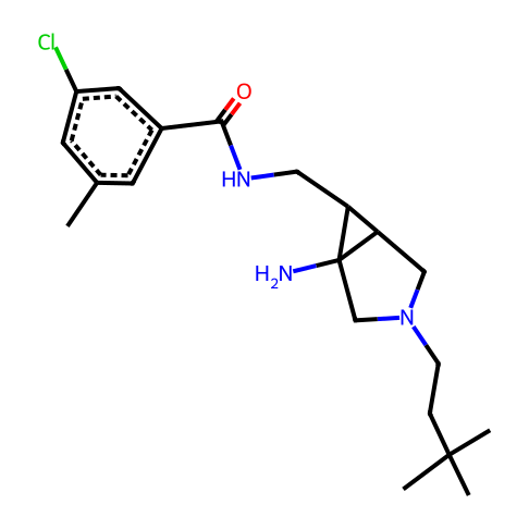 Cc1cc(Cl)cc(C(=O)NCC2C3CN(CCC(C)(C)C)CC23N)c1